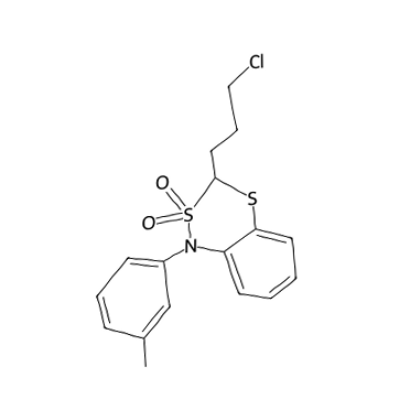 Cc1cccc(N2c3ccccc3SC(CCCCl)S2(=O)=O)c1